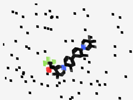 CC1=CN(c2ccc(-c3ccc(N4C=C(C(=O)C(F)(F)F)C(C)(C)CC4)c(C)c3)cc2C)CCC1(C)C